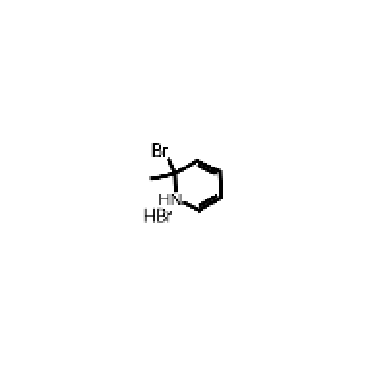 Br.CC1(Br)C=CC=CN1